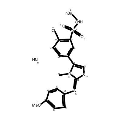 CCCCNS(=O)(=O)c1cc(-c2csc(=Nc3ccc(OC)cc3)n2C)ccc1Cl.Cl